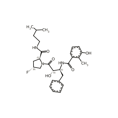 Cc1c(O)cccc1C(=O)N[C@@H](Cc1ccccc1)[C@H](O)C(=O)N1C[C@H](F)C[C@H]1C(=O)NCCC(C)C